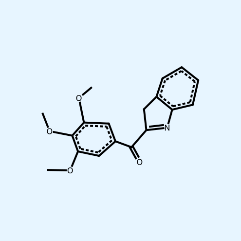 COc1cc(C(=O)C2=Nc3ccccc3C2)cc(OC)c1OC